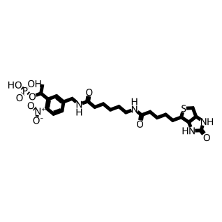 CC(OP(=O)(O)O)c1cc(CNC(=O)CCCCCNC(=O)CCCCC2SCC3NC(=O)NC32)ccc1[N+](=O)[O-]